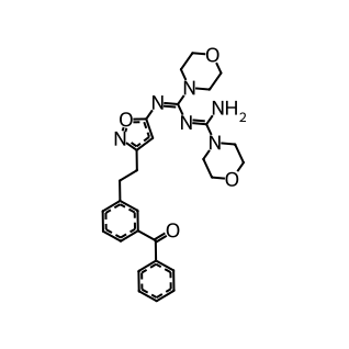 NC(=NC(=Nc1cc(CCc2cccc(C(=O)c3ccccc3)c2)no1)N1CCOCC1)N1CCOCC1